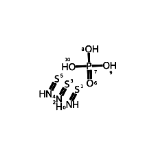 N=S.N=S.N=S.O=P(O)(O)O